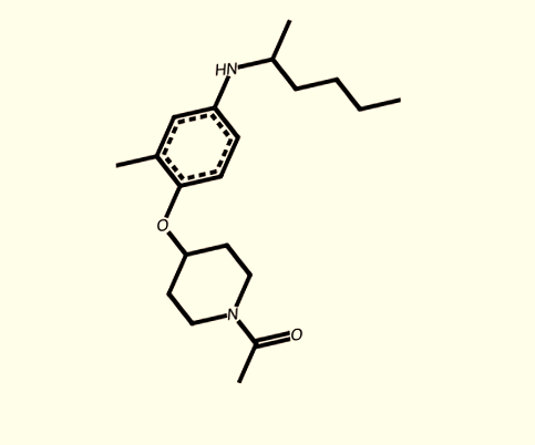 CCCCC(C)Nc1ccc(OC2CCN(C(C)=O)CC2)c(C)c1